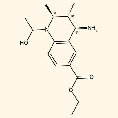 CCOC(=O)c1ccc2c(c1)[C@H](N)[C@@H](C)[C@H](C)N2C(C)O